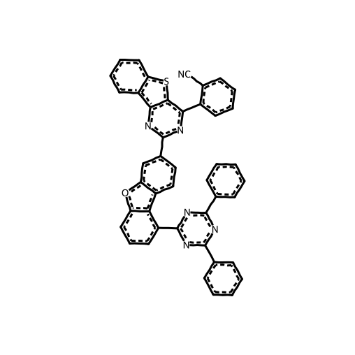 N#Cc1ccccc1-c1nc(-c2ccc3c(c2)oc2cccc(-c4nc(-c5ccccc5)nc(-c5ccccc5)n4)c23)nc2c1sc1ccccc12